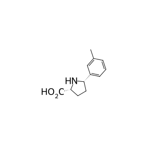 Cc1cccc([C@@H]2CC[C@H](C(=O)O)N2)c1